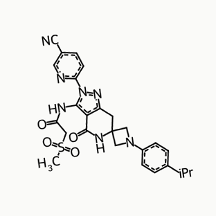 CC(C)c1ccc(N2CC3(Cc4nn(-c5ccc(C#N)cn5)c(NC(=O)CS(C)(=O)=O)c4C(=O)N3)C2)cc1